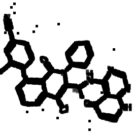 Cc1cc(C#N)ccc1-c1cccc2c(Cl)c([C@H](C)Nc3ncnc4[nH]ccc(=O)c34)n(-c3ccccc3)c(=O)c12